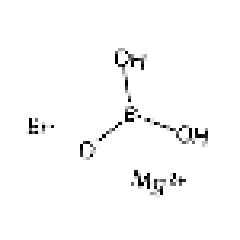 [Br-].[Mg+2].[O-]B(O)O